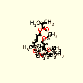 C=C(C)C(=O)OCCCC[Si](C)(C)O[Si](C)(C)O[Si](C)(CCCOCC)O[Si](C)(C)C